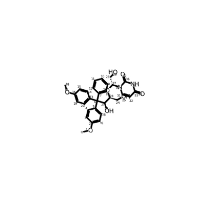 COc1ccc(C(c2ccccc2)(c2ccc(OC)cc2)C(O)[C@H](CO)O[C@H](CO)n2ccc(=O)[nH]c2=O)cc1